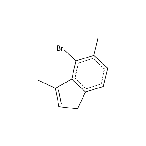 CC1=CCc2ccc(C)c(Br)c21